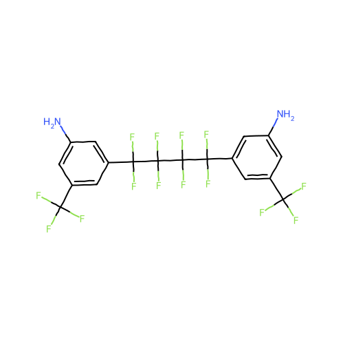 Nc1cc(C(F)(F)F)cc(C(F)(F)C(F)(F)C(F)(F)C(F)(F)c2cc(N)cc(C(F)(F)F)c2)c1